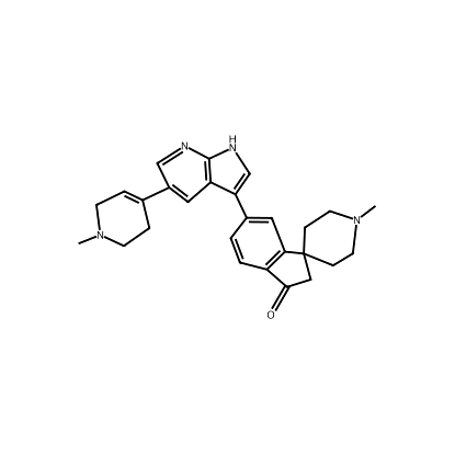 CN1CC=C(c2cnc3[nH]cc(-c4ccc5c(c4)C4(CCN(C)CC4)CC5=O)c3c2)CC1